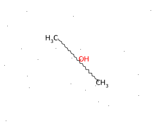 CCCCCCCCCCCCCCCC(O)CCCCCCCCCCCCC